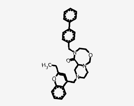 CCC1=C=C(CN2CCN3COCCN(Cc4ccc(-c5ccccc5)cc4)C(=O)C3C2)c2ccccc2O1